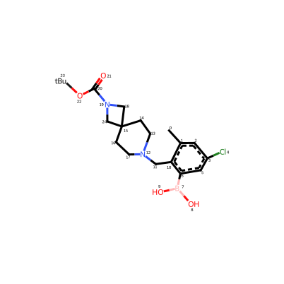 Cc1cc(Cl)cc(B(O)O)c1CN1CCC2(CC1)CN(C(=O)OC(C)(C)C)C2